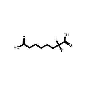 O=C(O)CCCCCC(F)(F)C(=O)O